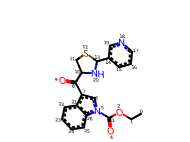 CCOC(=O)n1cc(C(=O)C2CSC(c3cccnc3)N2)c2ccccc21